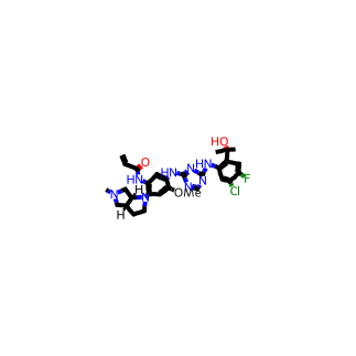 C=CC(=O)Nc1cc(Nc2ncnc(Nc3cc(Cl)c(F)cc3C(C)(C)O)n2)c(OC)cc1N1CC[C@@H]2CN(C)C[C@@H]21